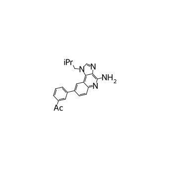 CC(=O)c1cccc(-c2ccc3nc(N)c4ncn(CC(C)C)c4c3c2)c1